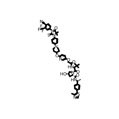 Cc1ncsc1-c1ccc([C@H](C)NC(=O)[C@@H]2C[C@@H](O)CN2C(=O)[C@@H](NC(=O)COc2ccc(OC3CCN(c4ccc(N5C(=S)N(c6ccc(C#N)c(C(F)(F)F)c6)C(=O)C5(C)C)cc4)CC3)nc2)C(C)(C)C)cc1